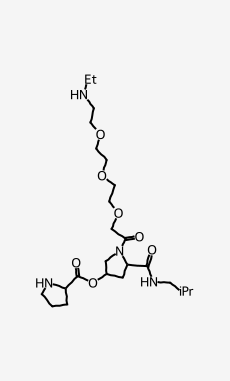 CCNCCOCCOCCOCC(=O)N1CC(OC(=O)C2CCCN2)CC1C(=O)NCC(C)C